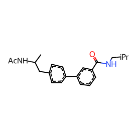 CC(=O)NC(C)Cc1ccc(-c2cccc(C(=O)NCC(C)C)c2)cc1